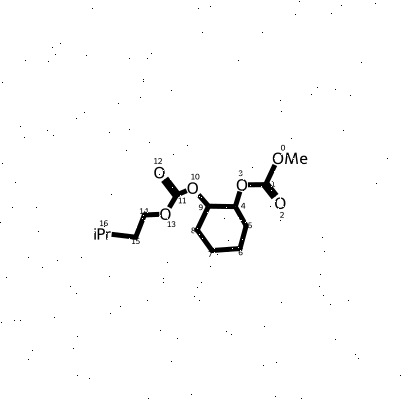 COC(=O)OC1CCCCC1OC(=O)OCCC(C)C